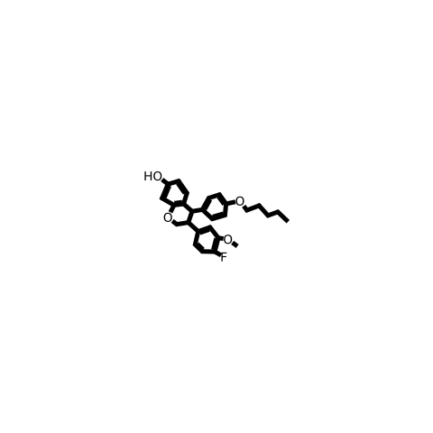 CCCCCOc1ccc(C2c3ccc(O)cc3OCC2c2ccc(F)c(OC)c2)cc1